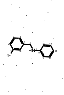 Fc1cccc(CNc2cc[c]cc2)c1